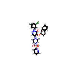 O=c1c(OC2CCc3ccccc3C2)c(N2CCN(S(=O)(=O)c3ccccn3)CC2)cnn1-c1cc(F)cc(F)c1